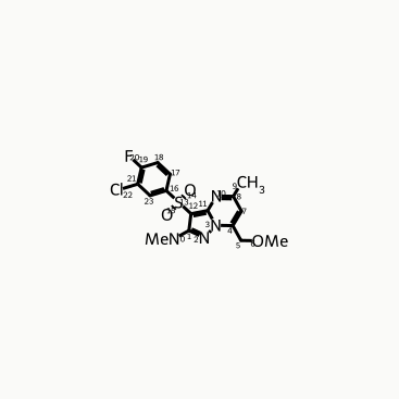 CNc1nn2c(COC)cc(C)nc2c1S(=O)(=O)c1ccc(F)c(Cl)c1